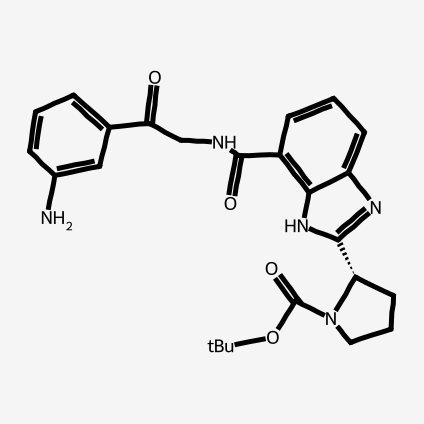 CC(C)(C)OC(=O)N1CCC[C@H]1c1nc2cccc(C(=O)NCC(=O)c3cccc(N)c3)c2[nH]1